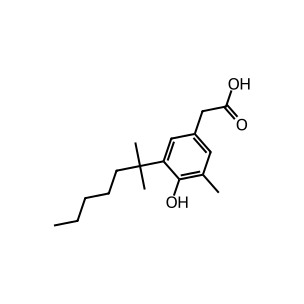 CCCCCC(C)(C)c1cc(CC(=O)O)cc(C)c1O